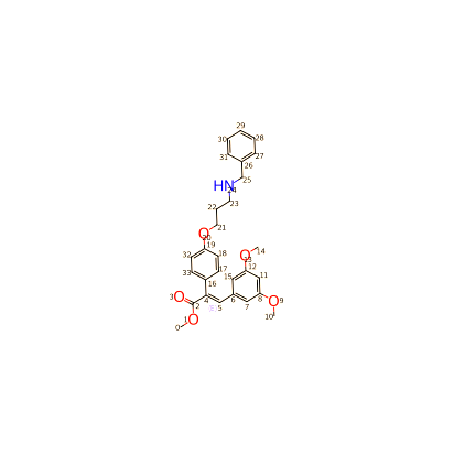 COC(=O)/C(=C/c1cc(OC)cc(OC)c1)c1ccc(OCCCNCc2ccccc2)cc1